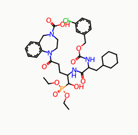 CCOP(=O)(OCC)C(O)C(CCC(=O)N1CCN(C(=O)O)Cc2ccccc21)NC(=O)C(CC1CCCCC1)NC(=O)OCc1cccc(Cl)c1